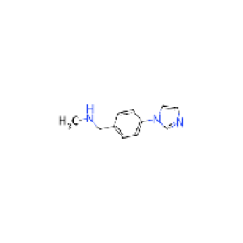 CNCc1ccc(-n2ccnc2)cc1